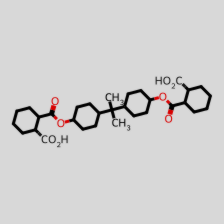 CC(C)(C1CCC(OC(=O)C2CCCCC2C(=O)O)CC1)C1CCC(OC(=O)C2CCCCC2C(=O)O)CC1